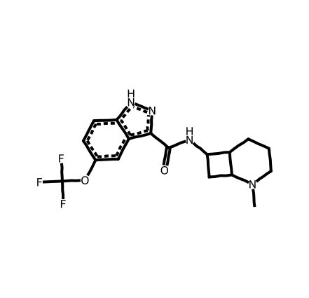 CN1CCCC2C(NC(=O)c3n[nH]c4ccc(OC(F)(F)F)cc34)CC21